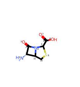 N[C@@H]1C(=O)N2C(C(=O)O)SCC12